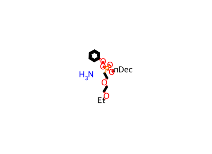 CCCCCCCCCCOP(=O)(CCOCCOCC)OOc1ccccc1.N